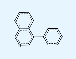 [c]1ncc(-c2ccccc2)c2ccccc12